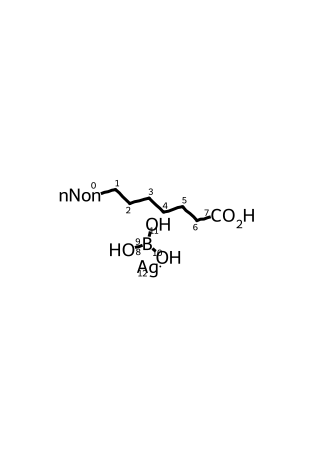 CCCCCCCCCCCCCCCC(=O)O.OB(O)O.[Ag]